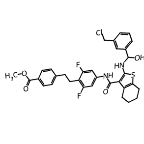 COC(=O)c1ccc(CCc2c(F)cc(NC(=O)c3c(NC(O)c4cccc(CCl)c4)sc4c3CCCC4)cc2F)cc1